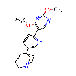 COc1ncc(-c2ccc(C34CCCN(CC3)C4)cn2)c(OC)n1